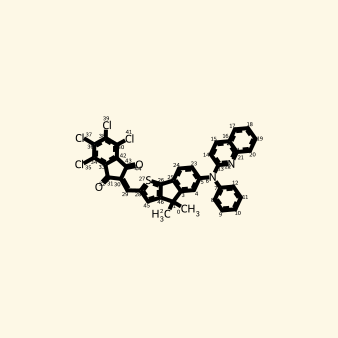 CC1(C)c2cc(N(c3ccccc3)c3ccc4ccccc4n3)ccc2-c2sc(C=C3C(=O)c4c(Cl)c(Cl)c(Cl)c(Cl)c4C3=O)cc21